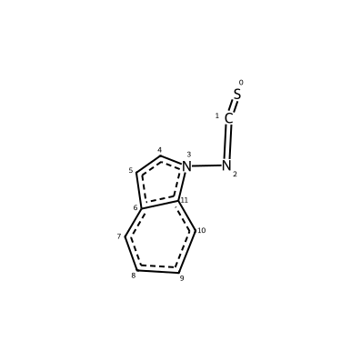 S=C=Nn1ccc2ccccc21